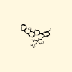 CC1(C)COC(c2ccc(F)cc2-c2ccc3c(c2)CCC(Cc2ccccc2)C3O)=N1